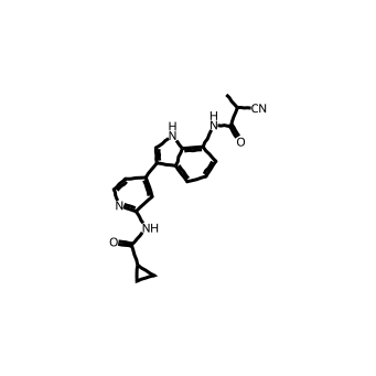 CC(C#N)C(=O)Nc1cccc2c(-c3ccnc(NC(=O)C4CC4)c3)c[nH]c12